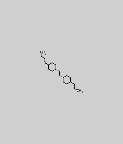 CC=C[C@H]1CC[C@H](CC[C@H]2CC[C@H](OCCC)CC2)CC1